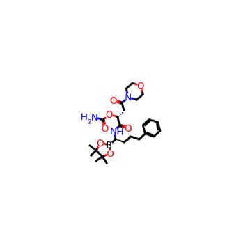 CC1(C)OB([C@H](CCCc2ccccc2)NC(=O)[C@@H](CC(=O)N2CCOCC2)OC(N)=O)OC1(C)C